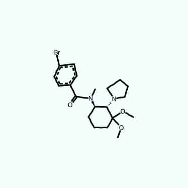 COC1(OC)CCC[C@@H](N(C)C(=O)c2ccc(Br)cc2)[C@@H]1N1CCCC1